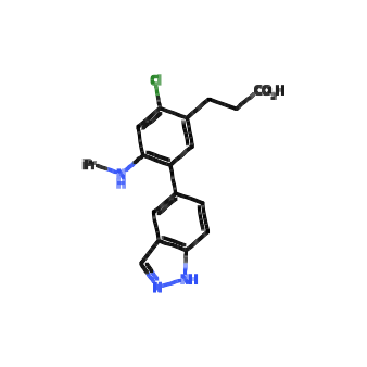 CC(C)Nc1cc(Cl)c(CCC(=O)O)cc1-c1ccc2[nH]ncc2c1